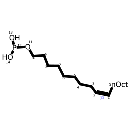 CCCCCCCC/C=C\CCCCCCCCOP(O)O